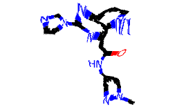 Cn1cc(NC(=O)c2nc(-n3ccnc3)nc3cc[nH]c23)cn1